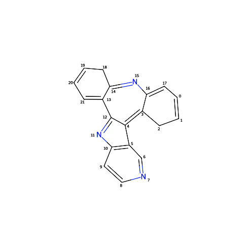 C1=CCc2c3c4cnccc4nc-3c3c(nc2=C1)CC=CC=3